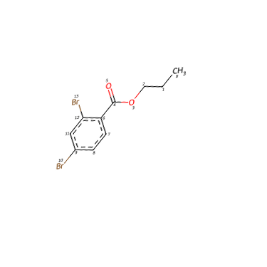 CCCOC(=O)c1ccc(Br)cc1Br